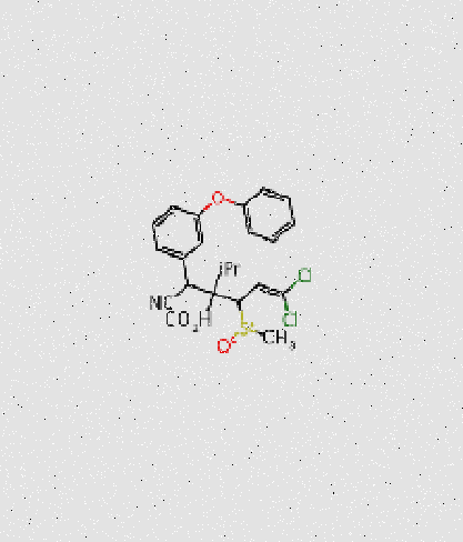 CC(C)C(C(=O)O)(C(C#N)c1cccc(Oc2ccccc2)c1)C(C=C(Cl)Cl)[S+](C)[O-]